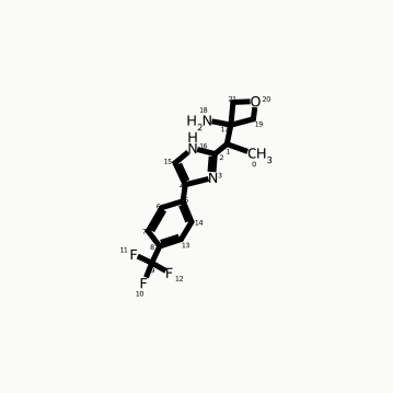 CC(c1nc(-c2ccc(C(F)(F)F)cc2)c[nH]1)C1(N)COC1